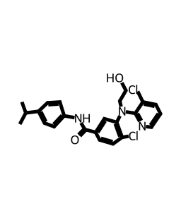 CC(C)c1ccc(NC(=O)c2ccc(Cl)c(N(CCO)c3ncccc3Cl)c2)cc1